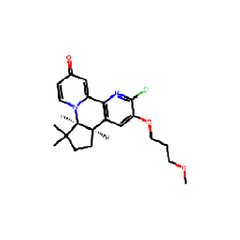 COCCCOc1cc2c(nc1Cl)-c1cc(=O)ccn1[C@H]1[C@@H]2CCC1(C)C